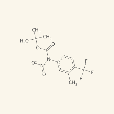 Cc1cc(N(C(=O)OC(C)(C)C)[N+](=O)[O-])ccc1C(F)(F)F